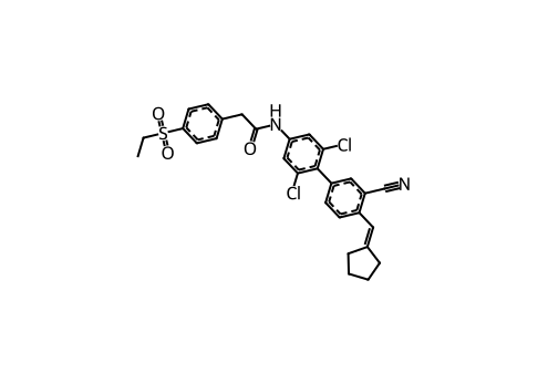 CCS(=O)(=O)c1ccc(CC(=O)Nc2cc(Cl)c(-c3ccc(C=C4CCCC4)c(C#N)c3)c(Cl)c2)cc1